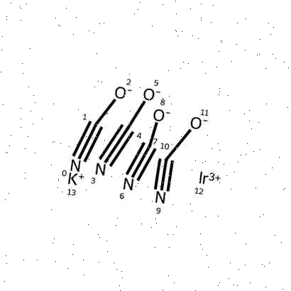 N#C[O-].N#C[O-].N#C[O-].N#C[O-].[Ir+3].[K+]